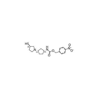 O=C(N[C@@H]1CC[C@H](N2CC[C@@H](S)C2)C1)OCc1ccc([N+](=O)[O-])cc1